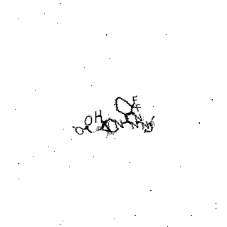 COC(=O)C[C@@H]1[C@H]2CN(c3nc(N4CC[C@@H]4C)nc4c3CCCCC4(F)F)C[C@@]12C